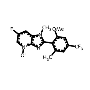 COc1cc(C(F)(F)F)cc(C)c1-c1nc2c(cc(F)c[n+]2[O-])n1C